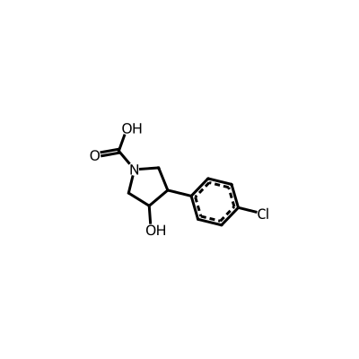 O=C(O)N1CC(O)C(c2ccc(Cl)cc2)C1